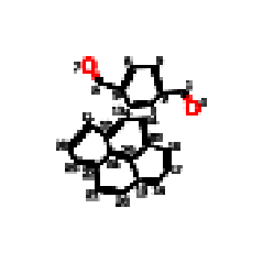 O=Cc1ccc(C=O)cc1.c1cc2ccc3cccc4ccc(c1)c2c34